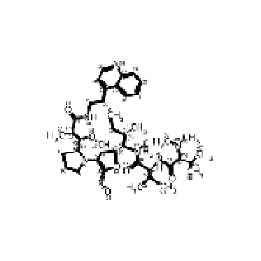 CC[C@H](C)C([C@H]1CC(N2CCC[C@H]2[C@H](OC)[C@@H](C)C(=O)NCCc2ccnc3ccccc23)=C(N=O)O1)N(C)C(=O)[C@@H](NC(=O)[C@H](C(C)C)N(C)C)C(C)C